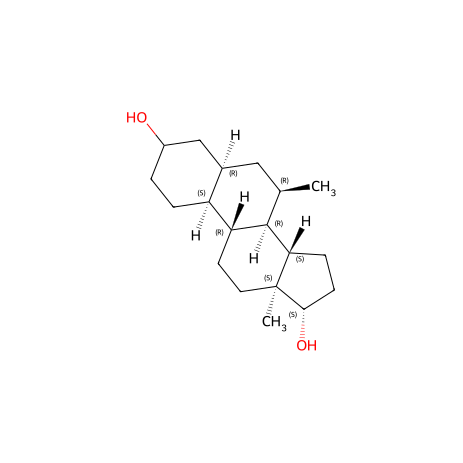 C[C@@H]1C[C@@H]2CC(O)CC[C@@H]2[C@H]2CC[C@]3(C)[C@@H](O)CC[C@H]3[C@@H]21